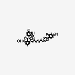 CN(C(=O)c1c(C=O)cccc1SCCCCCCCN1CCN(c2ccc(C#N)cc2F)CC1)C1CCC(=O)NC1=O